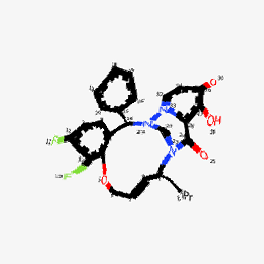 CC(C)[C@H]1/C=C/COc2c(ccc(F)c2F)[C@@H](c2ccccc2)N2CN1C(=O)c1c(O)c(=O)ccn12